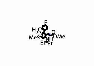 CCC(CC)Nc1cc(SC)nc(-c2ccc(F)cc2C)c1/C=C/C(=O)OC